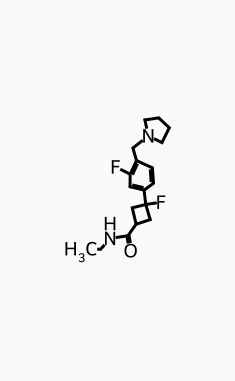 CCNC(=O)C1CC(F)(c2ccc(CN3CCCC3)c(F)c2)C1